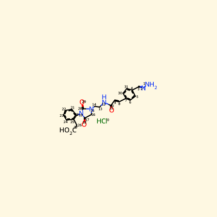 Cl.NN=Cc1ccc(C=CC(=O)NCCN2CC(=O)N(c3ccccc3CC(=O)O)C2=O)cc1